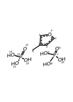 Cc1ccoc1.O=P(O)(O)O.O=P(O)(O)O